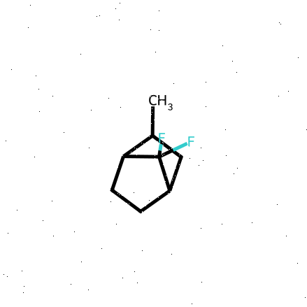 CC1CC2CCC1C2(F)F